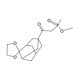 COP(C)(=O)CC(=O)C12CC3CC(C1)C1(OCCO1)C(C3)C2